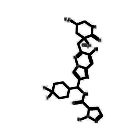 CCn1nccc1C(=O)NC(c1cn2nc(CC3(C(=O)O)C[C@@H](C(F)(F)F)CNC3=O)c(Cl)cc2n1)C1CCC(F)(F)CC1